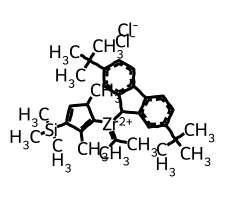 CC1=[C]([Zr+2](=[C](C)C)[CH]2c3cc(C(C)(C)C)ccc3-c3ccc(C(C)(C)C)cc32)C(C)C=C1[Si](C)(C)C.[Cl-].[Cl-]